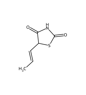 CC=CC1SC(=O)NC1=O